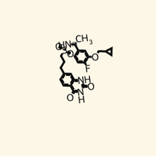 C[C@@H](NS(=O)(=O)CCCc1ccc2c(=O)[nH]c(=O)[nH]c2c1)c1ccc(F)c(OCC2CC2)c1